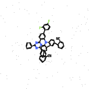 N#Cc1ccccc1-c1ccc2c(c1)c1cc(-c3ccccc3C#N)ccc1n2-c1cc(-c2ccc(F)cc2F)ccc1-c1nc(-c2ccccc2)nc(-c2ccccc2)n1